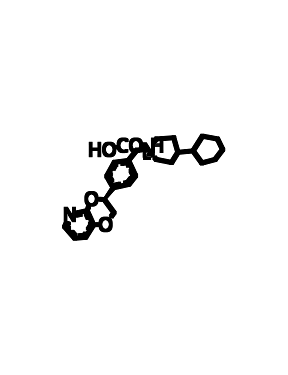 O=C(O)O.c1cnc2c(c1)OC[C@H](c1ccc(CN3CCC(C4CCCCC4)CC3)cc1)O2